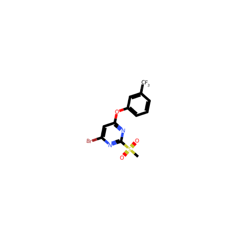 CS(=O)(=O)c1nc(Br)cc(Oc2cccc(C(F)(F)F)c2)n1